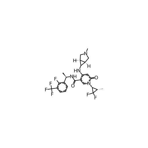 C[C@@H](NC(=O)c1cn([C@H]2[C@H](C)C2(F)F)c(=O)cc1NC1[C@H]2CN(C)C[C@@H]12)c1cccc(C(F)(F)F)c1F